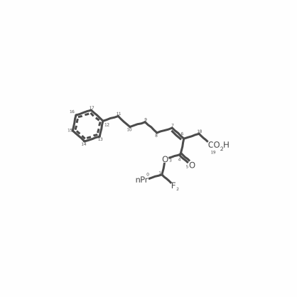 CCCC(F)OC(=O)C(=CCCCCc1ccccc1)CC(=O)O